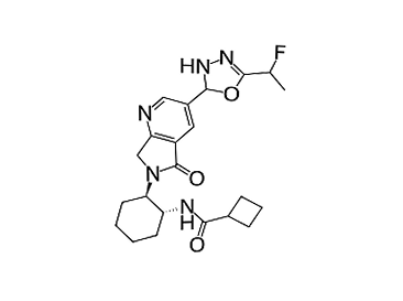 CC(F)C1=NNC(c2cnc3c(c2)C(=O)N([C@@H]2CCCC[C@H]2NC(=O)C2CCC2)C3)O1